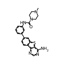 CN1CCN(C(=O)Nc2cccc(-c3ccc4c(c3)sc3c(N)ncnc34)c2)CC1